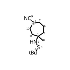 CC1(NSC(C)(C)C)CCCB(C#N)CC1